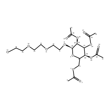 CC(=O)OCC1O[C@@H](OCCOCCOCCCl)[C@@H](OC(C)=O)C(OC(C)=O)[C@H]1OC(C)=O